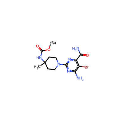 CC1(NC(=O)OC(C)(C)C)CCN(c2nc(N)c(Br)c(C(N)=O)n2)CC1